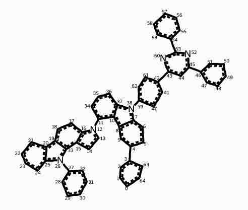 c1ccc(-c2ccc3c(c2)c2c(-n4ccc5c4ccc4c6ccccc6n(-c6ccccc6)c45)cccc2n3-c2ccc(-c3cc(-c4ccccc4)nc(-c4ccccc4)n3)cc2)cc1